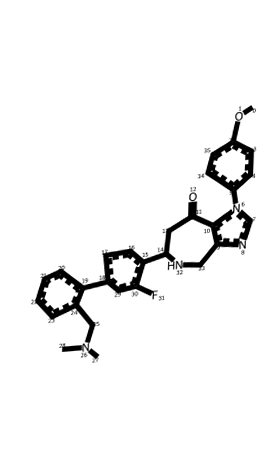 COc1ccc(-n2cnc3c2C(=O)CC(c2ccc(-c4ccccc4CN(C)C)cc2F)NC3)cc1